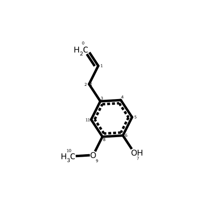 C=C[C]c1ccc(O)c(OC)c1